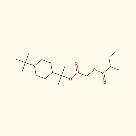 CCC(C)C(=O)OCC(=O)OC(C)(C)C1CCC(C(C)(C)C)CC1